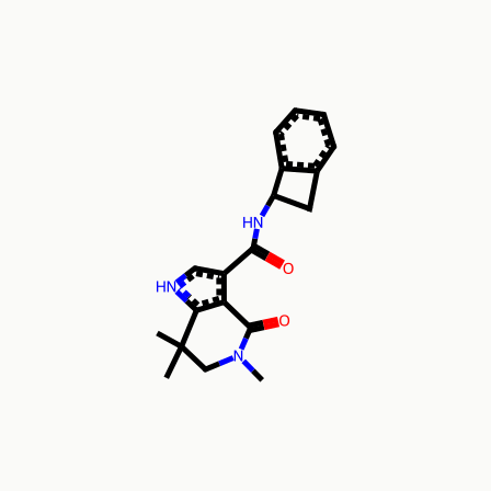 CN1CC(C)(C)c2[nH]cc(C(=O)NC3Cc4ccccc43)c2C1=O